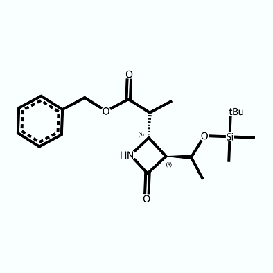 CC(C(=O)OCc1ccccc1)[C@H]1NC(=O)[C@@H]1C(C)O[Si](C)(C)C(C)(C)C